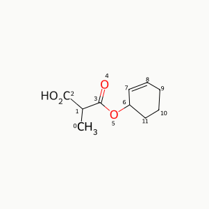 CC(C(=O)O)C(=O)OC1C=CCCC1